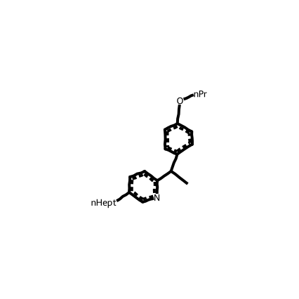 CCCCCCCc1ccc(C(C)c2ccc(OCCC)cc2)nc1